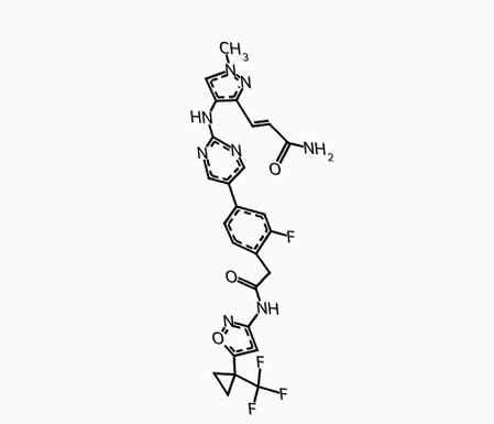 Cn1cc(Nc2ncc(-c3ccc(CC(=O)Nc4cc(C5(C(F)(F)F)CC5)on4)c(F)c3)cn2)c(C=CC(N)=O)n1